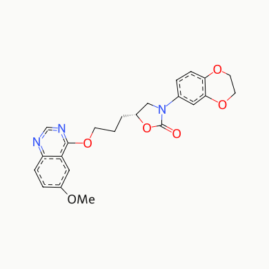 COc1ccc2ncnc(OCCC[C@@H]3CN(c4ccc5c(c4)OCCO5)C(=O)O3)c2c1